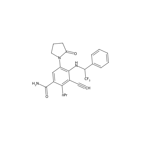 C#Cc1c(CCC)c(C(N)=O)cc(N2CCCC2=O)c1NC(c1ccccc1)C(F)(F)F